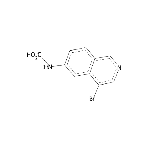 O=C(O)Nc1ccc2cncc(Br)c2c1